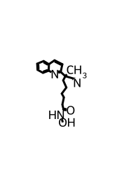 CC(C#N)(CCCCCC(=O)NO)c1ccc2ccccc2n1